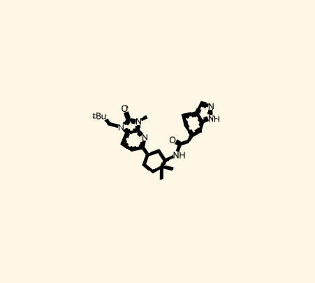 Cn1c(=O)n(CC(C)(C)C)c2ccc(C3CCC(C)(C)C(NC(=O)Cc4ccc5cn[nH]c5c4)C3)nc21